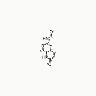 O=CNc1cc2ccc(=O)[nH]c2cn1